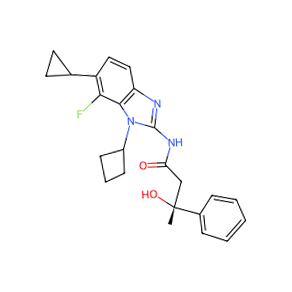 C[C@@](O)(CC(=O)Nc1nc2ccc(C3CC3)c(F)c2n1C1CCC1)c1ccccc1